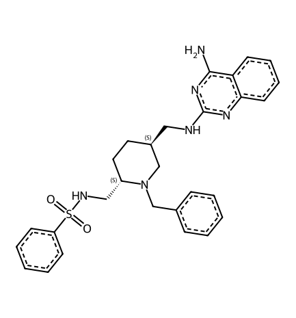 Nc1nc(NC[C@@H]2CC[C@@H](CNS(=O)(=O)c3ccccc3)N(Cc3ccccc3)C2)nc2ccccc12